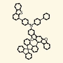 c1ccc(-c2ccc(N(c3ccc(-c4cccc5c4sc4ccccc45)cc3)c3ccc4oc5c(-c6cccc7c6-c6ccccc6C76c7ccccc7-c7ccccc76)c6c(cc5c4c3)oc3ccccc36)cc2)cc1